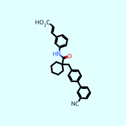 N#Cc1cccc(-c2ccc(CC3(C(=O)Nc4cccc(/C=C/C(=O)O)c4)CCCCC3)cc2)c1